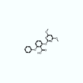 COc1cc(OC)nc(Oc2cccc(Oc3ccccc3)c2C(=O)O)n1